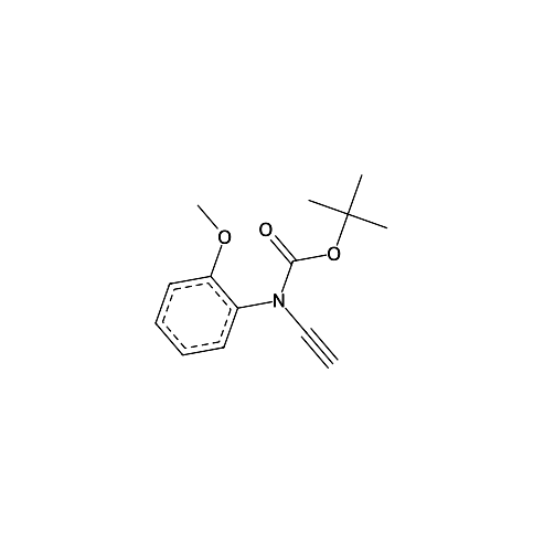 C#CN(C(=O)OC(C)(C)C)c1ccccc1OC